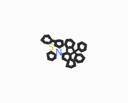 c1ccc(N(c2cc3ccccc3c3c2-c2ccccc2C3(c2ccccc2)c2ccccc2)c2cccc3c2sc2ccccc23)cc1